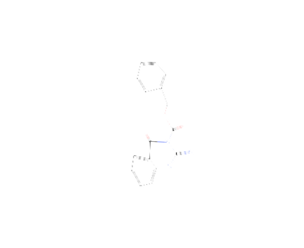 N=C(N)N(C(=O)OCc1ccccc1)C(=O)c1ccccc1